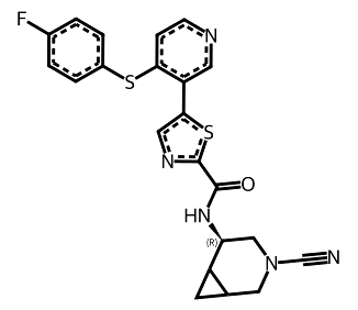 N#CN1CC2CC2[C@@H](NC(=O)c2ncc(-c3cnccc3Sc3ccc(F)cc3)s2)C1